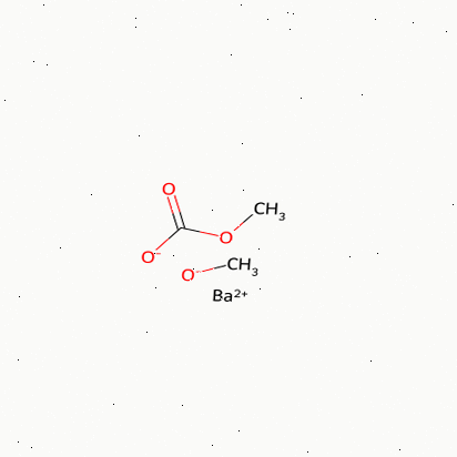 COC(=O)[O-].C[O-].[Ba+2]